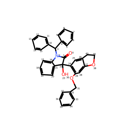 O=C1N(C(c2ccccc2)c2ccccc2)c2ccccc2C1(O)c1cc2c(cc1OCc1ccccc1)OCC2